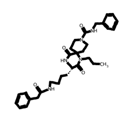 CCCN1C(=O)[C@H](CCCCNC(=O)Cc2ccccc2)NC(=O)C12CCN(C(=O)NCc1ccccc1)CC2